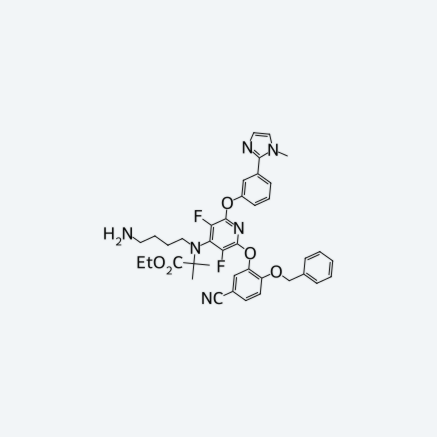 CCOC(=O)C(C)(C)N(CCCCN)c1c(F)c(Oc2cccc(-c3nccn3C)c2)nc(Oc2cc(C#N)ccc2OCc2ccccc2)c1F